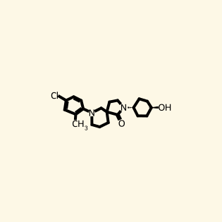 Cc1cc(Cl)ccc1N1CCCC2(CCN([C@H]3CC[C@H](O)CC3)C2=O)C1